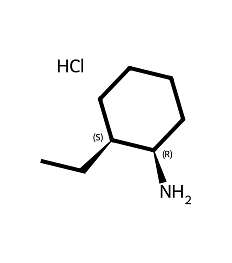 CC[C@H]1CCCC[C@H]1N.Cl